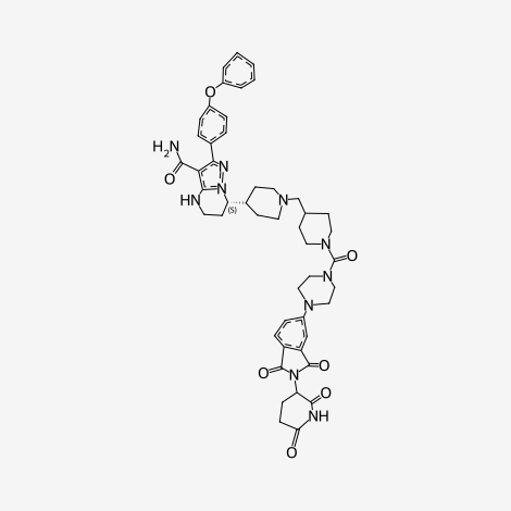 NC(=O)c1c(-c2ccc(Oc3ccccc3)cc2)nn2c1NCC[C@H]2C1CCN(CC2CCN(C(=O)N3CCN(c4ccc5c(c4)C(=O)N(C4CCC(=O)NC4=O)C5=O)CC3)CC2)CC1